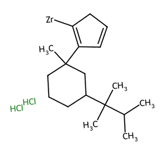 CC(C)C(C)(C)C1CCCC(C)(C2=[C]([Zr])CC=C2)C1.Cl.Cl